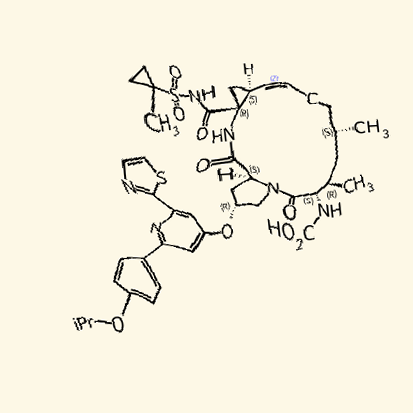 CC(C)Oc1ccc(-c2cc(O[C@@H]3C[C@H]4C(=O)N[C@]5(C(=O)NS(=O)(=O)C6(C)CC6)C[C@H]5/C=C\CC[C@H](C)C[C@@H](C)[C@H](NC(=O)O)C(=O)N4C3)cc(-c3nccs3)n2)cc1